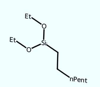 CCCCCCC[Si](OCC)OCC